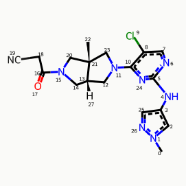 Cn1cc(Nc2ncc(Cl)c(N3C[C@@H]4CN(C(=O)CC#N)C[C@]4(C)C3)n2)cn1